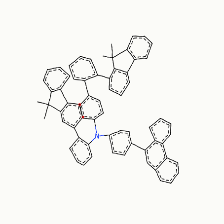 CC1(C)c2ccccc2-c2ccc(-c3ccccc3N(c3ccc(-c4ccccc4-c4cccc5c4C(C)(C)c4ccccc4-5)cc3)c3ccc(-c4cc5ccccc5c5ccccc45)cc3)cc21